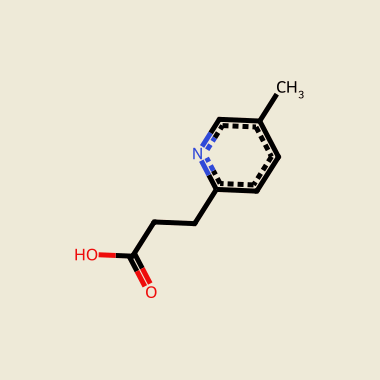 Cc1ccc(CCC(=O)O)nc1